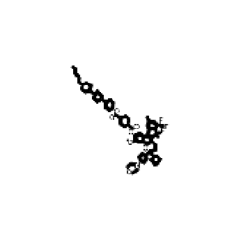 CCCCCC1CCC(c2ccc(-c3ccc(OC(=O)C4CCC(C(=O)Oc5cc6c7c(c8c(c6cc5OC)OC(c5ccccc5)(c5ccc(N6CCOCC6)cc5)C=C8)C(C)(C)c5c-7cc(C)cc5C(F)(F)F)CC4)cc3)cc2)CC1